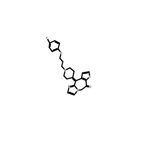 O=C1Cn2ccnc2C(=C2CCN(CCCOc3ccc(F)cc3)CC2)c2ccsc21